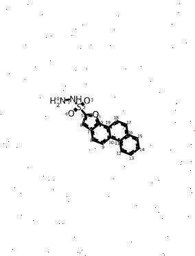 NNS(=O)(=O)c1cc2ccc3c4ccccc4ccc3c2o1